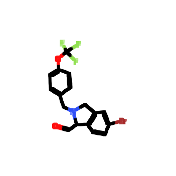 O=CC1c2ccc(Br)cc2CN1Cc1ccc(OC(F)(F)F)cc1